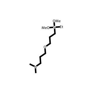 CC[Si](CCCOCCCN(C)C)(OC)OC